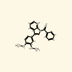 COc1ccc(-c2cn(C(=O)c3ccccc3)c3ncccc23)cc1OC